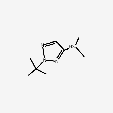 C[SiH](C)c1cnn(C(C)(C)C)n1